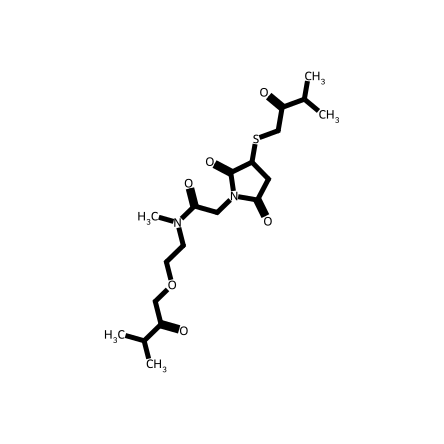 CC(C)C(=O)COCCN(C)C(=O)CN1C(=O)CC(SCC(=O)C(C)C)C1=O